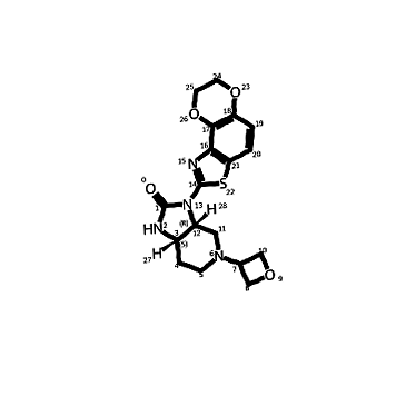 O=C1N[C@H]2CCN(C3COC3)C[C@H]2N1c1nc2c3c(ccc2s1)OCCO3